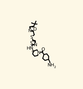 CC(C)(C)c1cnc(CSc2cnc(N[C@@H]3CCCN(C(=O)C4CCC(CN)CC4)C3)s2)o1